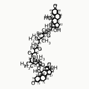 C=C(CNC(=O)C(F)C(F)C(=O)NCC(=C)C(C)(C)CC(C)(Br)C(=O)OCC(=O)C1(O)CCC2C3CCC4=CC(=O)CCC4(C)C3C(O)CC21C)C(C)(C)CC(C)(Br)C(=O)OCC(=O)C1(O)CCC2C3CCC4=CC(=O)CCC4(C)C3C(O)CC21C